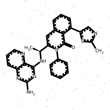 Cc1ncc(-c2cccc3cc([C@H](C)Nc4nc(N)nc5cccnc45)n(-c4ccccc4)c(=O)c23)s1